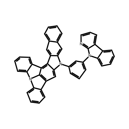 c1cc(-n2c3cc4ccccc4cc3c3c4c5ccccc5n5c6ccccc6c(cc32)c45)cc(-n2c3ccccc3c3cccnc32)c1